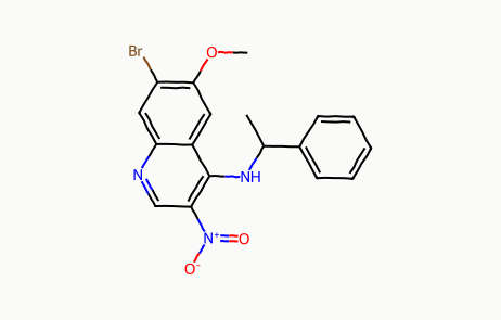 COc1cc2c(NC(C)c3ccccc3)c([N+](=O)[O-])cnc2cc1Br